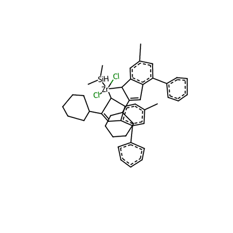 Cc1cc(-c2ccccc2)c2c(c1)[CH]([Zr]([Cl])([Cl])([CH]1C(C3CCCCC3)=Cc3c(-c4ccccc4)cc(C)cc31)[SiH](C)C)C(C1CCCCC1)=C2